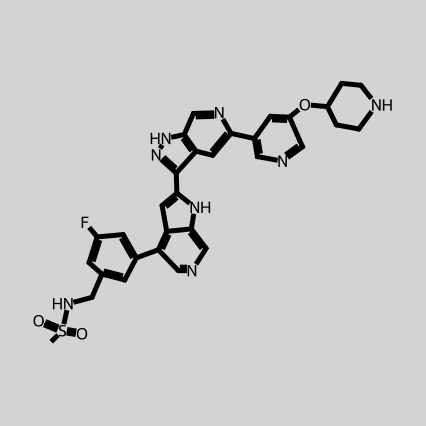 CS(=O)(=O)NCc1cc(F)cc(-c2cncc3[nH]c(-c4n[nH]c5cnc(-c6cncc(OC7CCNCC7)c6)cc45)cc23)c1